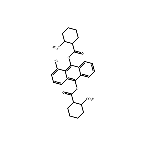 CC(C)(C)c1cccc2c(OC(=O)C3CCCCC3C(=O)O)c3ccccc3c(OC(=O)C3CCCCC3C(=O)O)c12